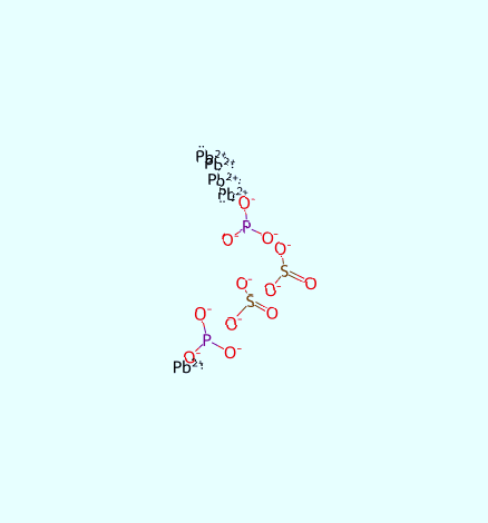 O=S([O-])[O-].O=S([O-])[O-].[O-]P([O-])[O-].[O-]P([O-])[O-].[Pb+2].[Pb+2].[Pb+2].[Pb+2].[Pb+2]